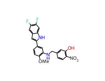 COc1ccc(-c2cc3cc(F)c(F)cc3[nH]2)cc1NCc1ccc([N+](=O)[O-])c(O)c1